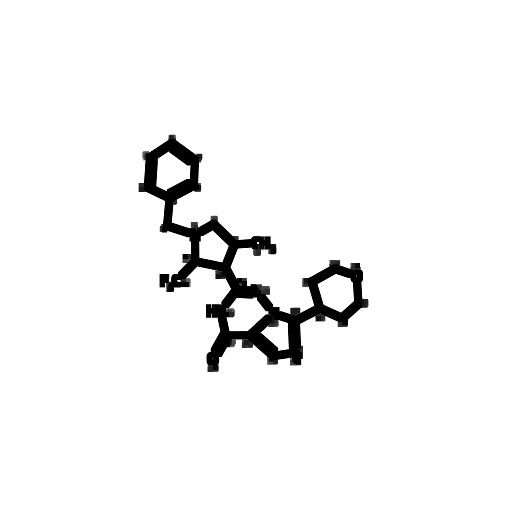 CC1CN(Cc2ccccc2)C(C(F)(F)F)C1c1nn2c(C3CCOCC3)ncc2c(=O)[nH]1